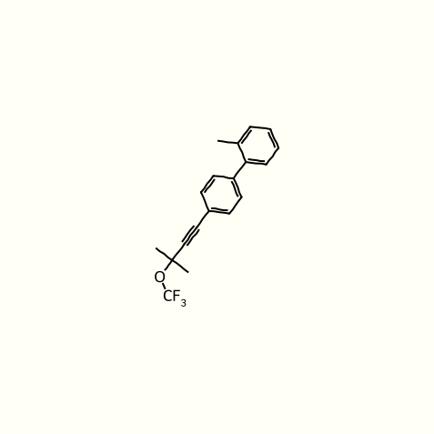 Cc1ccccc1-c1ccc(C#CC(C)(C)OC(F)(F)F)cc1